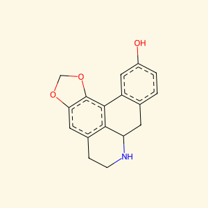 Oc1ccc2c(c1)-c1c3c(cc4c1C(C2)NCC4)OCO3